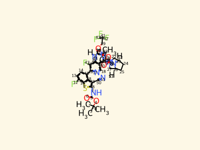 CC(C)(C)OC(=O)Nc1sc2c(F)ccc(-c3ncc4c(N5C[C@H]6CC[C@@H](C5)N6C(=O)OC(C)(C)C)nc(OCC(F)(F)F)nc4c3F)c2c1C#N